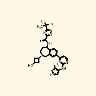 Cc1n[nH]cc1Nc1nccc(-c2ccc3c(c2)CN(C2CC(O)C2)CCC3NC(=O)c2nc(C(C)(C)C)no2)n1